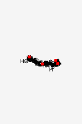 O=C(NS(=O)(=O)CC12CC3CC(CC(C3)C1)C2)c1ccc(N2CCN(Cc3cc(-c4cncc(O)c4)cs3)CC2)nn1